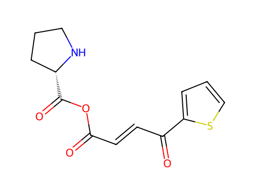 O=C(C=CC(=O)c1cccs1)OC(=O)[C@@H]1CCCN1